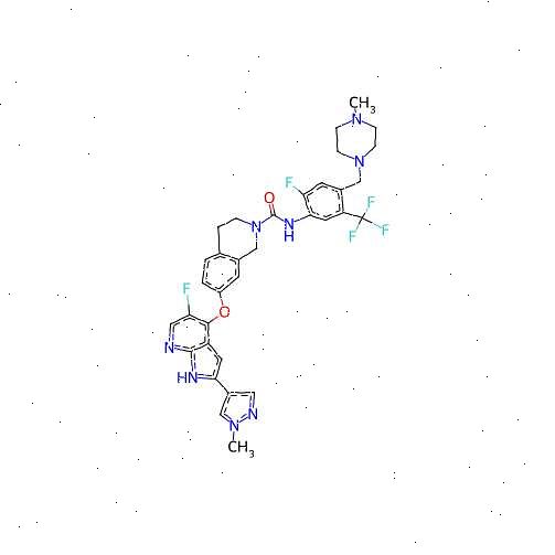 CN1CCN(Cc2cc(F)c(NC(=O)N3CCc4ccc(Oc5c(F)cnc6[nH]c(-c7cnn(C)c7)cc56)cc4C3)cc2C(F)(F)F)CC1